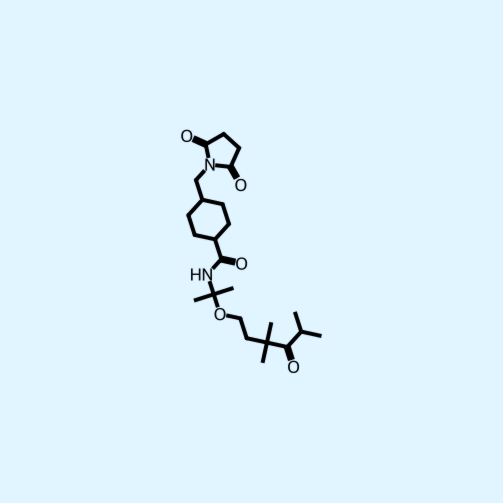 CC(C)C(=O)C(C)(C)CCOC(C)(C)NC(=O)C1CCC(CN2C(=O)CCC2=O)CC1